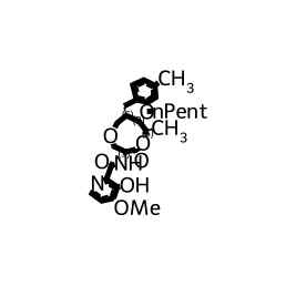 CCCCCO[C@@H]1[C@@H](Cc2ccc(C)cc2)COC[C@H](NC(=O)c2nccc(OC)c2O)C(=O)O[C@H]1C